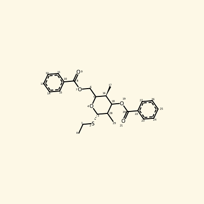 CCS[C@@H]1OC(COC(=O)c2ccccc2)[C@@H](C)C(OC(=O)c2ccccc2)C1C